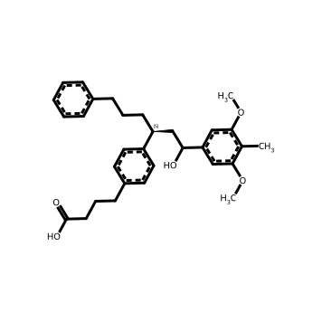 COc1cc(C(O)C[C@H](CCCc2ccccc2)c2ccc(CCCC(=O)O)cc2)cc(OC)c1C